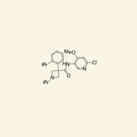 COc1cc(Cl)ncc1NC(=O)C1(c2ccccc2C(C)C)CN(C(C)C)C1